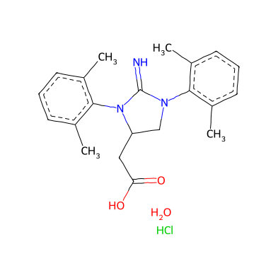 Cc1cccc(C)c1N1CC(CC(=O)O)N(c2c(C)cccc2C)C1=N.Cl.O